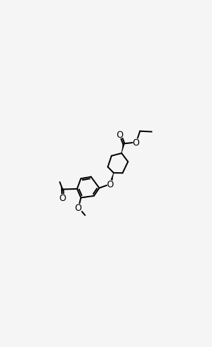 CCOC(=O)[C@H]1CC[C@@H](Oc2ccc(C(C)=O)c(OC)c2)CC1